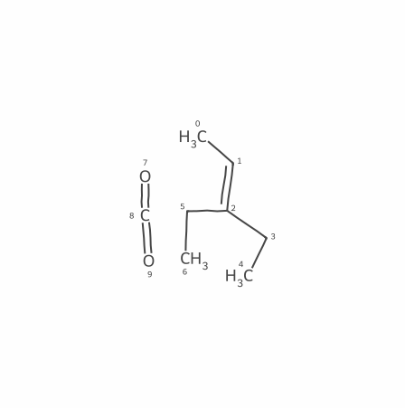 CC=C(CC)CC.O=C=O